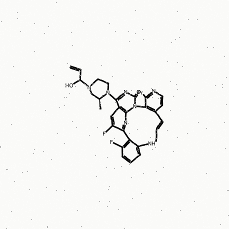 C=CC(O)N1CCN(c2nc(=O)n3c4nc(c(F)cc24)-c2c(F)cccc2NC/C=C/c2ccnc(C(C)C)c2-3)[C@@H](C)C1